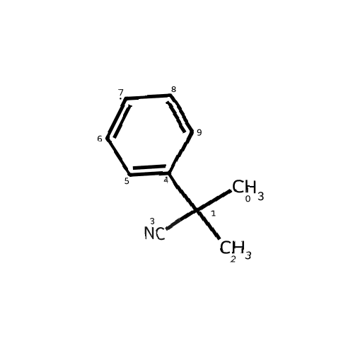 CC(C)(C#N)c1cc[c]cc1